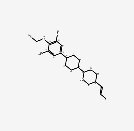 C/C=C/C1COC(C2CCC(c3cc(F)c(OCF)c(F)c3)CC2)OC1